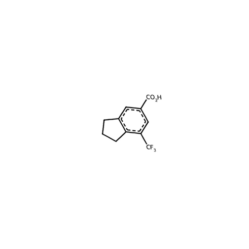 O=C(O)c1cc2c(c(C(F)(F)F)c1)CCC2